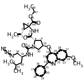 C=C[C@@H]1C[C@]1(NC(=O)[C@@H]1C[C@@H](Oc2cc(-c3ccccc3)nc3cc(OC)ccc23)CN1C(=O)N[C@H](CN=[N+]=[N-])CC(C)C)C(=O)OCC